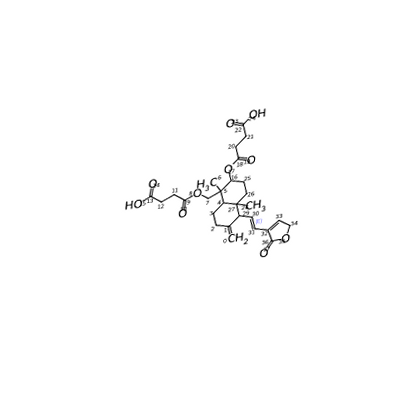 C=C1CCC2C(C)(COC(=O)CCC(=O)O)C(OC(=O)CCC(=O)O)CCC2(C)C1/C=C/C1=CCOC1=O